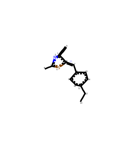 C=c1nc(C)s/c1=C\c1ccc(CC)cc1